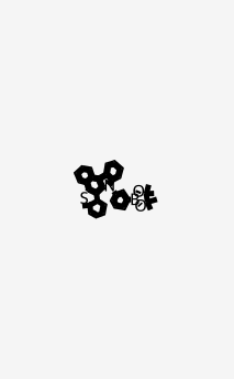 CC12C=CC=CC1c1c(c3ccccc3c3c4ccccc4n(-c4cccc(B5OC(C)(C)C(C)(C)O5)c4)c13)S2